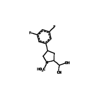 N#CC(O)C1CC(c2cc(F)cc(F)c2)CN1C(=O)O